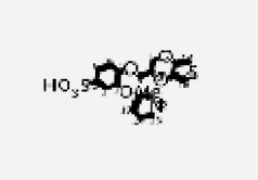 COc1cc(S(=O)(=O)O)ccc1OCC1COc2cscc2O1.c1ccncc1